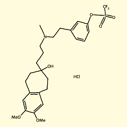 COc1cc2c(cc1OC)CCC(O)(CCCN(C)CCc1cccc(OS(=O)(=O)C(F)(F)F)c1)CC2.Cl